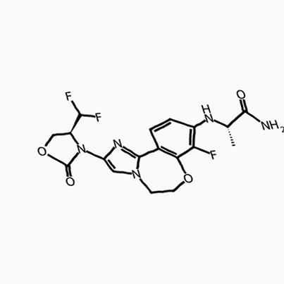 C[C@H](Nc1ccc2c(c1F)OCCn1cc(N3C(=O)OC[C@H]3C(F)F)nc1-2)C(N)=O